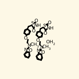 CN(CCOc1ccc(CC2SC(=O)NC2=O)cc1)c1nc2ccccc2o1.CN(CCOc1ccc(CC2SC(=O)NC2=O)cc1)c1nc2ccccc2o1.O